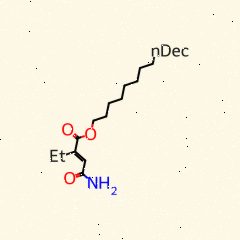 CCCCCCCCCCCCCCCCCCOC(=O)C(=CC(N)=O)CC